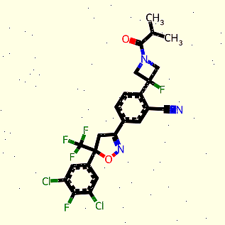 CC(C)C(=O)N1CC(F)(c2ccc(C3=NOC(c4cc(Cl)c(F)c(Cl)c4)(C(F)(F)F)C3)cc2C#N)C1